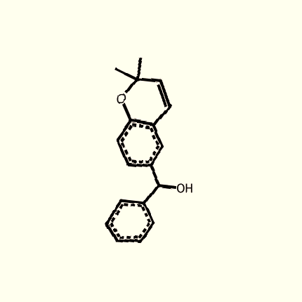 CC1(C)C=Cc2cc(C(O)c3ccccc3)ccc2O1